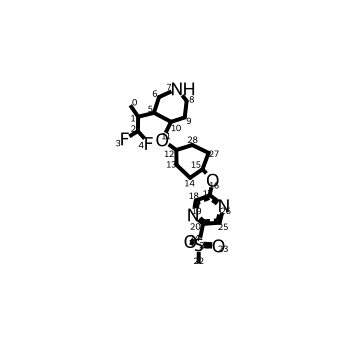 CC(C(F)F)C1CNCCC1OC1CCC(Oc2cnc(S(C)(=O)=O)cn2)CC1